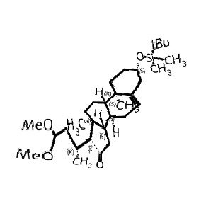 COC(C[C@@H](C)[C@H]1C(=O)C[C@H]2[C@@H]3CC=C4C[C@@H](O[Si](C)(C)C(C)(C)C)CC[C@]4(C)[C@H]3CC[C@]12C)OC